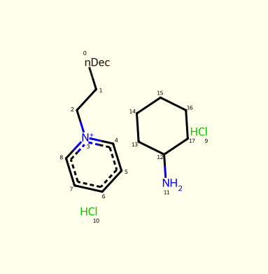 CCCCCCCCCCCC[n+]1ccccc1.Cl.Cl.NC1CCCCC1